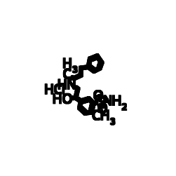 Cc1ccc(C(O)CNC(C)CCc2ccccc2)cc1S(N)(=O)=O.Cl